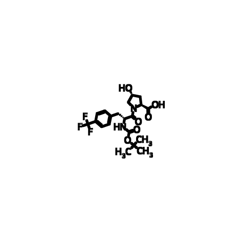 CC(C)(C)OC(=O)N[C@H](Cc1ccc(C(F)(F)F)cc1)C(=O)N1C[C@H](O)C[C@H]1C(=O)O